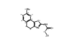 CCSC(=O)Nc1nc2c(s1)-c1nc(C(C)(C)C)ncc1CC2